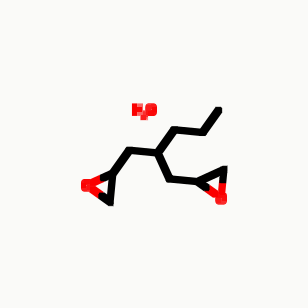 CCCC(CC1CO1)CC1CO1.O